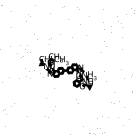 CCCN(Cc1nc2ccc3cc(-c4ccc5c(ccc6nc(CN(C(=O)C[C@@H](C)CC)C7CC7C)[nH]c65)c4)ccc3c2[nH]1)C(=O)[C@H](NC(=O)C1CC1)c1ccccc1